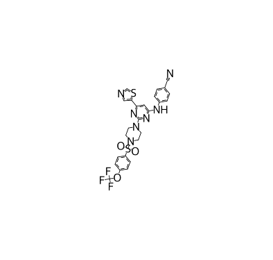 N#Cc1ccc(Nc2cc(-c3cncs3)nc(N3CCN(S(=O)(=O)c4ccc(OC(F)(F)F)cc4)CC3)n2)cc1